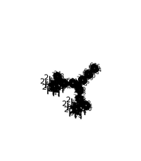 [2H]c1c([2H])c([2H])c(-n2c3ccccc3c3cc(-c4ccc5c(c4)c4cc(-c6ccc7c(c6)c6ccccc6n7-c6c([2H])c([2H])c([2H])c([2H])c6[2H])ccc4n5-c4ccc(-c5ccc(-c6ccccc6)cc5)cc4)ccc32)c([2H])c1[2H]